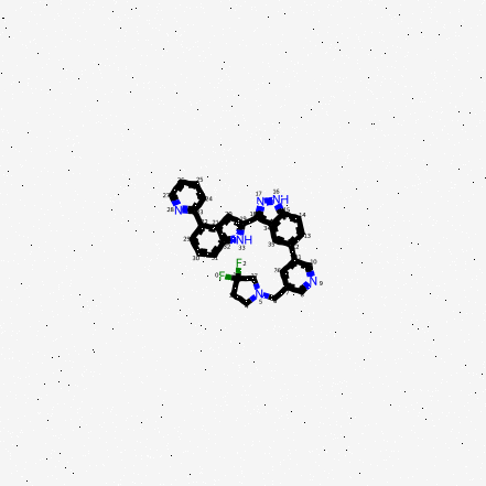 FC1(F)CCN(Cc2cncc(-c3ccc4[nH]nc(-c5cc6c(-c7ccccn7)cccc6[nH]5)c4c3)c2)C1